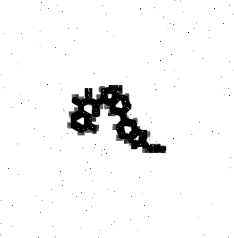 CNc1nc2cc(-c3ccc4[nH]cc(C(=O)NC(C)c5cccc(F)c5)c4c3)ccc2s1